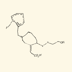 O=C(O)/C=C1/CN(Cc2ccccc2F)CCC1SSCCO